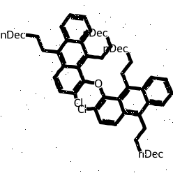 CCCCCCCCCCCCc1c2ccccc2c(CCCCCCCCCCCC)c2c(Oc3c(Cl)ccc4c(CCCCCCCCCCCC)c5ccccc5c(CCCCCCCCCCCC)c34)c(Cl)ccc12